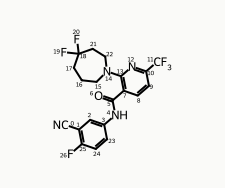 N#Cc1cc(NC(=O)c2ccc(C(F)(F)F)nc2N2CCCC(F)(F)CC2)ccc1F